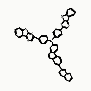 c1ccc2cc(-c3ccc4c(ccc5cc(N(c6ccc(-c7cnc8c(n7)sc7ccccc78)cc6)c6ccc(-c7cnc8c(n7)sc7ccccc78)cc6)ccc54)c3)ccc2c1